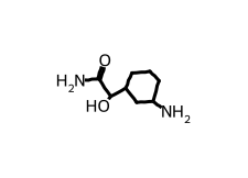 NC(=O)C(O)C1CCCC(N)C1